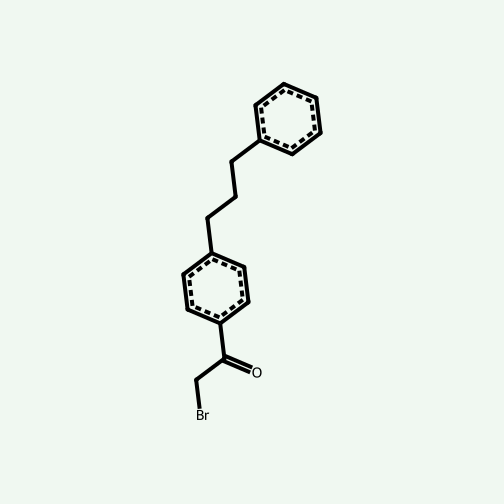 O=C(CBr)c1ccc(CCCc2ccccc2)cc1